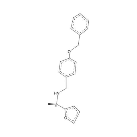 C[C@@H](NCc1ccc(OCc2ccccc2)cc1)c1ccco1